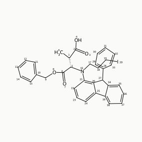 CC(C(=O)O)[C@@H](C(=O)OCc1ccccc1)N(CCCI)c1cccc2c1C(c1ccccc1)c1ccccc1-2